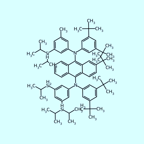 Cc1cc(N(c2cc(C(C)(C)C)cc(C(C)(C)C)c2)c2c3ccccc3c(N(c3cc([SiH2]C(C)C)cc([SiH](C(C)C)C(C)C)c3)c3cc(C(C)(C)C)cc(C(C)(C)C)c3)c3ccc(C(C)(C)C)cc23)cc([SiH](C(C)C)C(C)C)c1